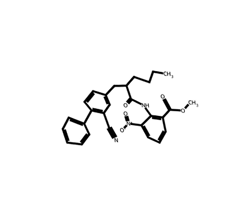 CCCCC(Cc1ccc(-c2ccccc2)c(C#N)c1)C(=O)Nc1c(C(=O)OC)cccc1[N+](=O)[O-]